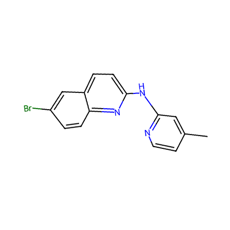 Cc1ccnc(Nc2ccc3cc(Br)ccc3n2)c1